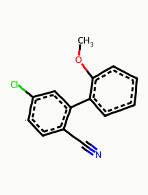 COc1ccccc1-c1cc(Cl)[c]cc1C#N